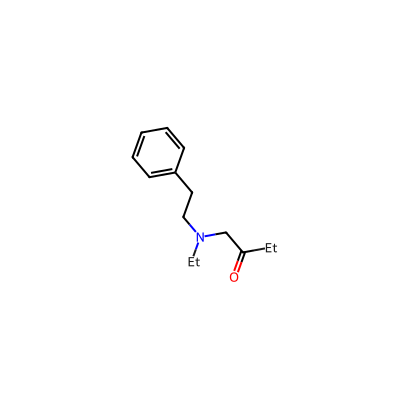 CCC(=O)CN(CC)CCc1ccccc1